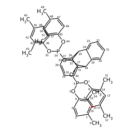 Cc1ccc(OP(Oc2ccc(C)cc2C)OC2C3c4ccccc4C(c4ccccc43)C2OP(Oc2ccc(C)cc2C)Oc2ccc(C)cc2C)c(C)c1